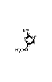 COc1cnc(Br)s1